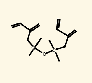 C=CC(=C)C[Si](C)(C)O[Si](C)(C)CC(=C)C=C